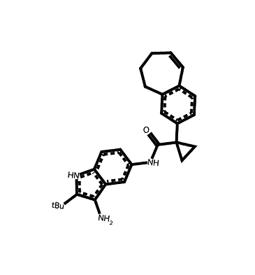 CC(C)(C)c1[nH]c2ccc(NC(=O)C3(c4ccc5c(c4)CCCC=C5)CC3)cc2c1N